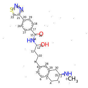 CN[C@H]1CCc2ccc(CCCC(O)NC(=O)c3ccc(-c4csnn4)cc3)cc2C1